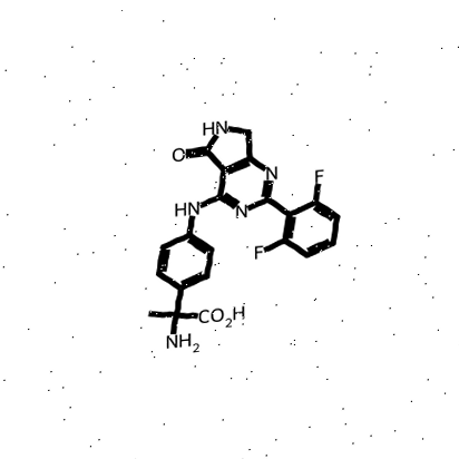 CC(N)(C(=O)O)c1ccc(Nc2nc(-c3c(F)cccc3F)nc3c2C(=O)NC3)cc1